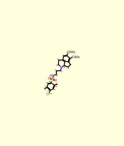 COc1cc2c3c(c1OC)CCC3N(CCCNS(=O)(=O)c1cc(C)c(Cl)cc1C)CC2